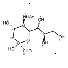 CC(=O)N[C@H]1[C@H]([C@H](O)[C@H](O)CO)O[C@](O)(C=O)C[C@@H]1O